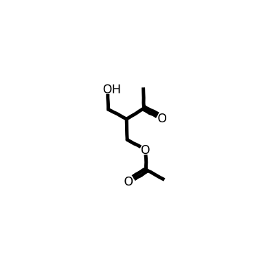 CC(=O)OCC(CO)C(C)=O